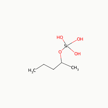 CCCC(C)O[Si](O)(O)O